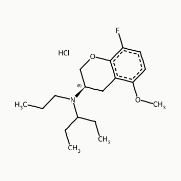 CCCN(C(CC)CC)[C@H]1COc2c(F)ccc(OC)c2C1.Cl